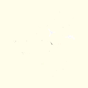 COc1cc2c(cc1OC)[C@H](CCc1cccc(C)c1F)N(C(C(N)=O)c1ccccc1)CC2